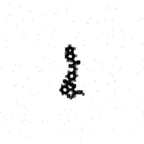 CN(C)C(=O)c1ccccc1S(=O)(=O)c1ccc(CNC(=O)c2cnc3nccn3c2)cc1